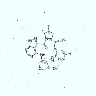 C=C(/C=C(F)\C=C(/C)F)[C@H]1C[C@H](F)CN1C(=O)c1n[nH]c2ncnc(N[C@@H]3COC[C@@H](O)[C@H]3O)c12